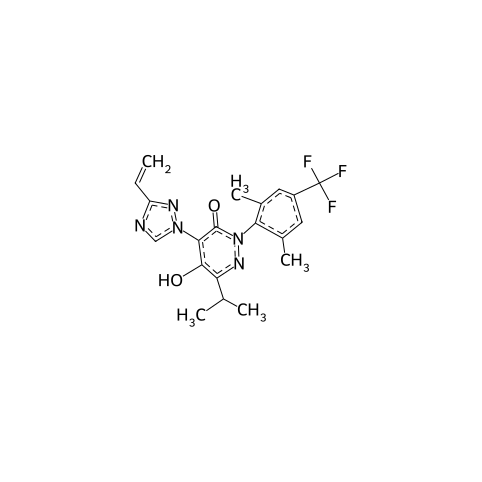 C=Cc1ncn(-c2c(O)c(C(C)C)nn(-c3c(C)cc(C(F)(F)F)cc3C)c2=O)n1